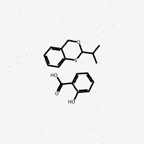 CC(C)C1OCc2ccccc2S1.O=C(O)c1ccccc1O